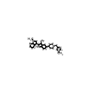 CC(C)c1c(-c2cn(C)c3ncccc23)[nH]c2ccc(C3CCN(Cc4ncn(C)n4)CC3)cc12